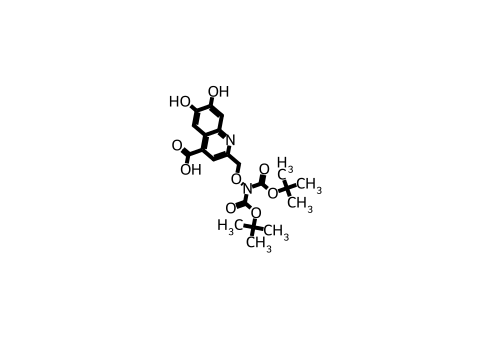 CC(C)(C)OC(=O)N(OCc1cc(C(=O)O)c2cc(O)c(O)cc2n1)C(=O)OC(C)(C)C